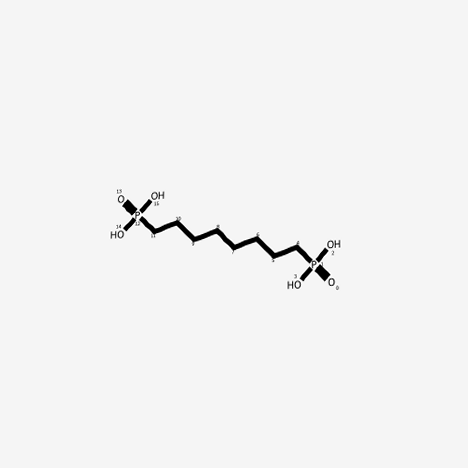 O=P(O)(O)CCCCCCCCP(=O)(O)O